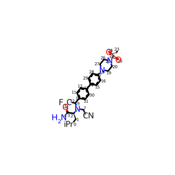 CC(C)C[C@@H](C(N)=O)N(CC#N)C(c1ccc(-c2ccc(N3CCN(S(C)(=O)=O)CC3)cc2)cc1)C(F)(F)F